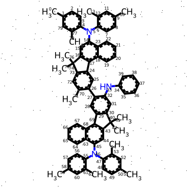 Cc1ccc(N(c2ccc(C)cc2C)c2cc3c(c4ccccc24)-c2cc(-c4cc5c(cc4Nc4ccccc4)C(C)(C)c4cc(N(c6ccc(C)cc6C)c6ccc(C)cc6C)c6ccccc6c4-5)c(C)cc2C3(C)C)c(C)c1